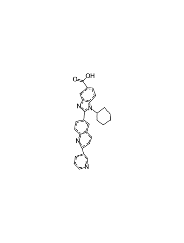 O=C(O)c1ccc2c(c1)nc(-c1ccc3nc(-c4cccnc4)ccc3c1)n2C1CCCCC1